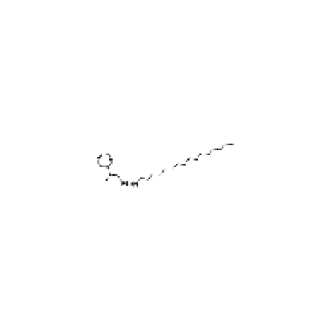 CCCCCCCCCCCCCCCCN=C=NCC(C)c1ccccc1